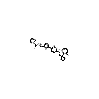 O=C(NCc1cnc(-c2ccc(NCC3(c4ncccc4F)CCC3)nn2)s1)n1[c]ccn1